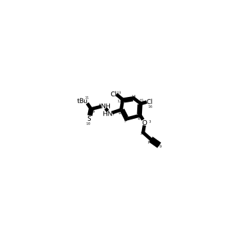 C#CCOc1cc(NNC(=S)C(C)(C)C)c(Cl)cc1Cl